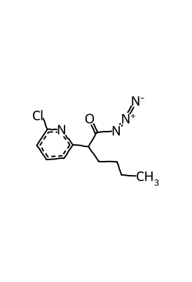 CCCCC(C(=O)N=[N+]=[N-])c1cccc(Cl)n1